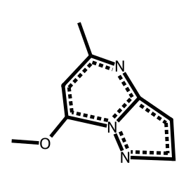 COc1cc(C)nc2ccnn12